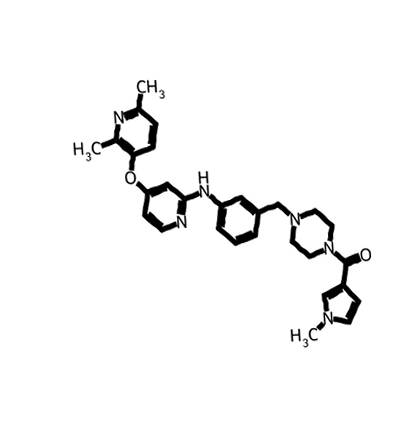 Cc1ccc(Oc2ccnc(Nc3cccc(CN4CCN(C(=O)c5ccn(C)c5)CC4)c3)c2)c(C)n1